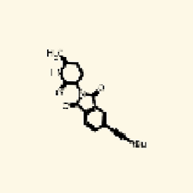 C=C1CCC(N2C(=O)c3ccc(C#CC(C)(C)C)cc3C2=O)C(=O)N1